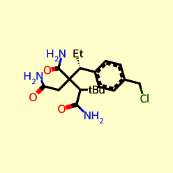 CC[C@H](c1ccc(CCl)cc1)C(CC(N)=O)(C(N)=O)C(C(N)=O)C(C)(C)C